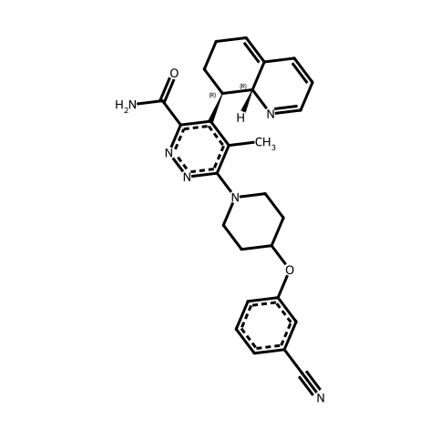 Cc1c(N2CCC(Oc3cccc(C#N)c3)CC2)nnc(C(N)=O)c1[C@H]1CCC=C2C=CC=N[C@@H]21